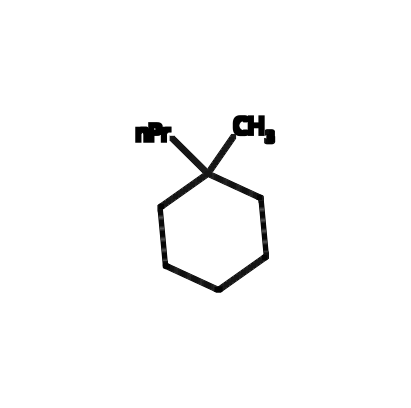 [CH2]CCC1(C)CCCCC1